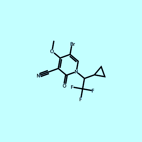 COc1c(Br)cn(C(C2CC2)C(F)(F)F)c(=O)c1C#N